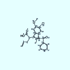 C=CCC(C(=O)O)c1c(C)n(C(=O)c2ccccc2)c2cc(Cl)c(OC)cc12